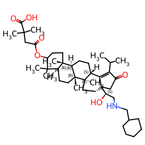 CC(C)C1=C2[C@H]3CC[C@@H]4[C@@]5(C)CCC(OC(=O)CC(C)(C)C(=O)O)C(C)(C)[C@@H]5CC[C@@]4(C)[C@]3(C)CC[C@@]2([C@H](O)CNCC2CCCCC2)CC1=O